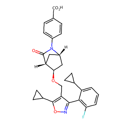 O=C(O)c1ccc(N2C(=O)[C@@H]3C[C@H]2C[C@H]3OCc2c(-c3c(F)cccc3C3CC3)noc2C2CC2)cc1